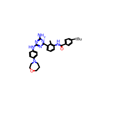 Cc1c(NC(=O)c2ccc(C(C)(C)C)cc2)cccc1-c1nc(N)nc(Nc2ccc(N3CCCOCC3)cc2)n1